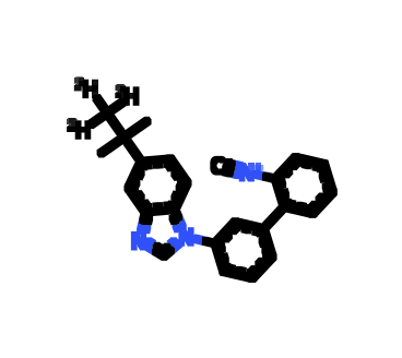 [2H]C([2H])([2H])C(C)(C)c1ccc2c(c1)ncn2-c1cccc(-c2ccccc2[N+]#[C-])c1